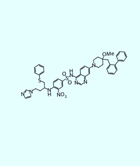 COC1(Cc2ccccc2-c2ccccc2)CCN(c2ccc3c(NS(=O)(=O)c4ccc(NC(CCn5ccnc5)CSc5ccccc5)c([N+](=O)[O-])c4)ncnc3c2)CC1